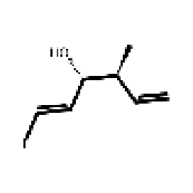 C=C[C@H](C)[C@@H](O)/C=C/I